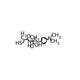 CCN(C)c1ccc(CS[C@](C)(NC(=O)C(C)CS)C(=O)O)cc1